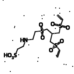 C=CS(=O)(=O)CC(CS(=O)(=O)C=C)CS(=O)(=O)CCNCCS(=O)(=O)O